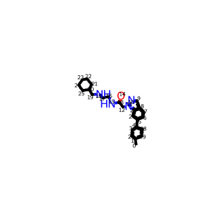 Cc1ccc(-c2ccc3cnn(CC(=O)NCCNCC4CCCCC4)c3c2)cc1